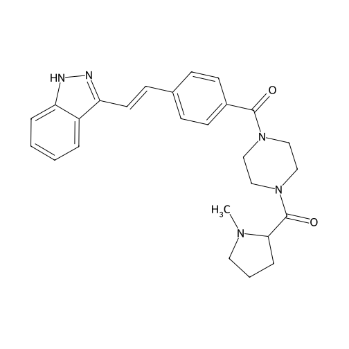 CN1CCCC1C(=O)N1CCN(C(=O)c2ccc(C=Cc3n[nH]c4ccccc34)cc2)CC1